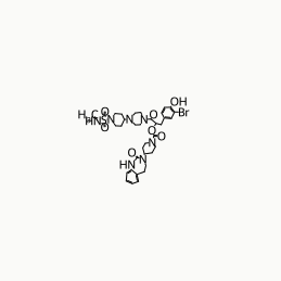 CNS(=O)(=O)N1CCC(N2CCN(C(=O)C(Cc3ccc(O)c(Br)c3)OC(=O)N3CCC(N4CCc5ccccc5NC4=O)CC3)CC2)CC1